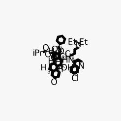 CC(C)C(=O)OCC(=O)[C@@]12O[C@H](C3CCCCC3)O[C@@H]1C[C@H]1[C@@H]3CCC4=CC(=O)C=C[C@]4(C)[C@H]3[C@@H](O)C[C@@]12C.CCN(CC)CCCC(C)Nc1ccnc2cc(Cl)ccc12